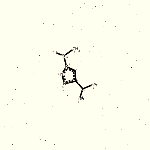 CCCC(CCC)c1cn(B(C)I)nn1